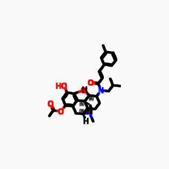 CC(=O)Oc1cc(O)c2c3c1C[C@@H]1[C@@H]4CCC(N(CC(C)C)C(=O)C=Cc5cccc(C)c5)[C@H](O2)[C@]34CCN1C